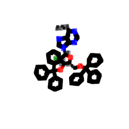 CC(=O)Nc1ncnc2c1ncn2[C@@H]1O[C@H](COC(c2ccccc2)(c2ccccc2)c2ccccc2)[C@@H](OC(c2ccccc2)(c2ccccc2)c2ccccc2)[C@@H]1F